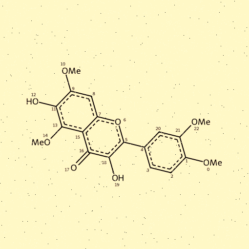 COc1ccc(-c2oc3cc(OC)c(O)c(OC)c3c(=O)c2O)cc1OC